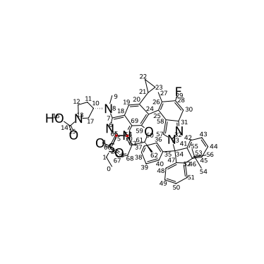 CCS(=O)(=O)c1nc(N(C)[C@H]2CCN(C(=O)O)C2)c2cc(C3CC3)c(-c3c(C)c(F)cc4nn(C(c5ccccc5)(c5ccccc5)c5ccccc5C(C)(C)C)cc34)c(O[C@@H](C)c3ccccc3)c2n1